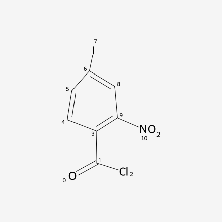 O=C(Cl)c1ccc(I)cc1[N+](=O)[O-]